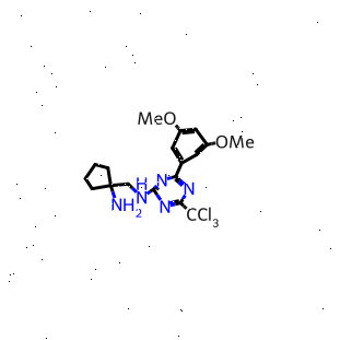 COc1cc(OC)cc(-c2nc(NCC3(N)CCCC3)nc(C(Cl)(Cl)Cl)n2)c1